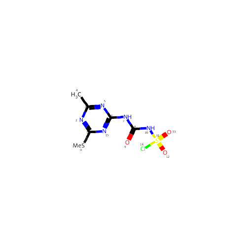 CSc1nc(C)nc(NC(=O)NS(=O)(=O)Cl)n1